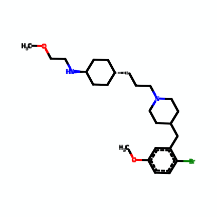 COCCN[C@H]1CC[C@H](CCCN2CCC(Cc3cc(OC)ccc3Br)CC2)CC1